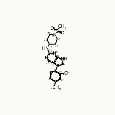 Cc1ccc(-c2c[nH]c3nc(NC4CCN(S(C)(=O)=O)CC4)ncc23)c(C)c1